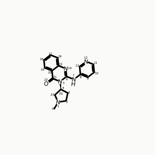 CN1CC[C@H](n2c(Nc3cccnc3)nc3ccccc3c2=O)C1